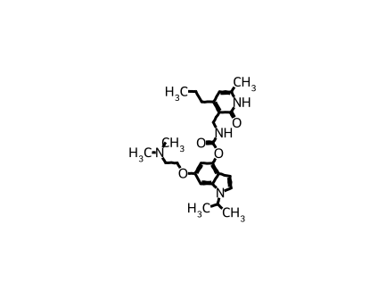 CCCc1cc(C)[nH]c(=O)c1CNC(=O)Oc1cc(OCCN(C)C)cc2c1ccn2C(C)C